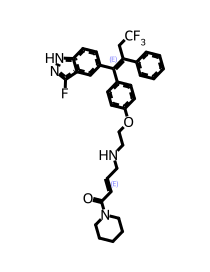 O=C(/C=C/CNCCOc1ccc(/C(=C(/CC(F)(F)F)c2ccccc2)c2ccc3[nH]nc(F)c3c2)cc1)N1CCCCC1